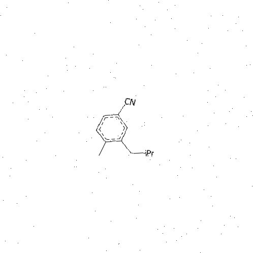 Cc1ccc(C#N)cc1CC(C)C